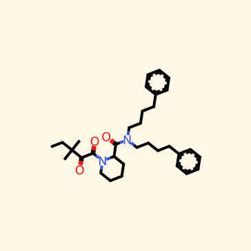 CCC(C)(C)C(=O)C(=O)N1CCCCC1C(=O)N(CCCCc1ccccc1)CCCCc1ccccc1